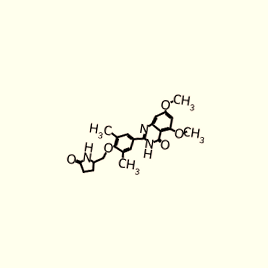 COc1cc(OC)c2c(=O)[nH]c(-c3cc(C)c(OCC4CCC(=O)N4)c(C)c3)nc2c1